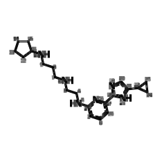 c1cc(NCCNCCCNC2CCCC2)nc(-c2ncc(C3CC3)[nH]2)c1